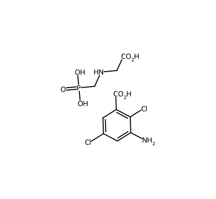 Nc1cc(Cl)cc(C(=O)O)c1Cl.O=C(O)CNCP(=O)(O)O